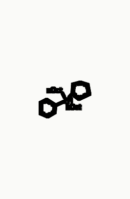 CCCCCCCC[PH](CCCCCCCC)(c1ccccc1)c1ccccc1